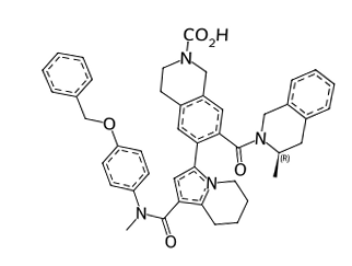 C[C@@H]1Cc2ccccc2CN1C(=O)c1cc2c(cc1-c1cc(C(=O)N(C)c3ccc(OCc4ccccc4)cc3)c3n1CCCC3)CCN(C(=O)O)C2